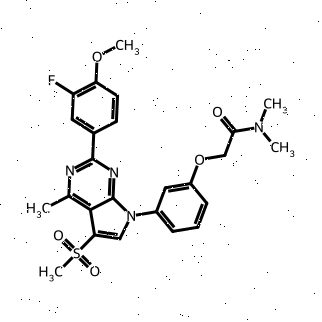 COc1ccc(-c2nc(C)c3c(S(C)(=O)=O)cn(-c4cccc(OCC(=O)N(C)C)c4)c3n2)cc1F